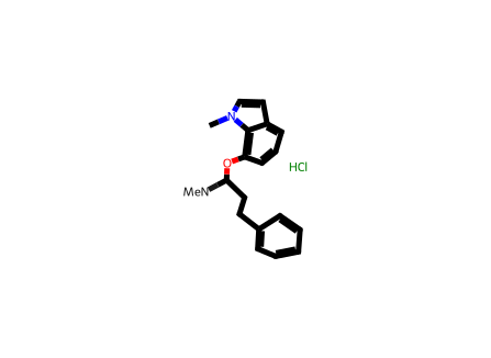 CNC(CCc1ccccc1)Oc1cccc2ccn(C)c12.Cl